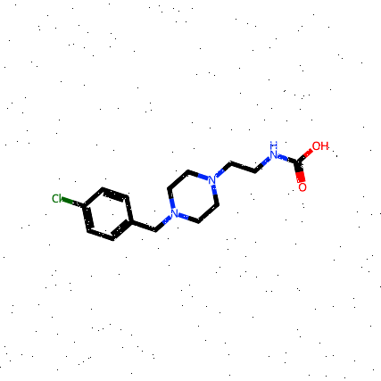 O=C(O)NCCN1CCN(Cc2ccc(Cl)cc2)CC1